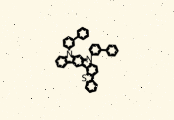 c1ccc(-c2cccc(-n3c4ccccc4c4cc5c6c7sc8ccccc8c7ccc6n(-c6cccc(-c7ccccc7)c6)c5cc43)c2)cc1